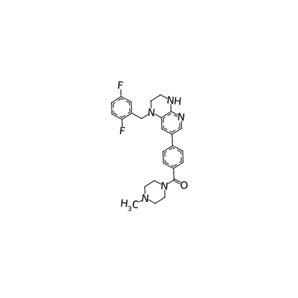 CN1CCN(C(=O)c2ccc(-c3cnc4c(c3)N(Cc3cc(F)ccc3F)CCN4)cc2)CC1